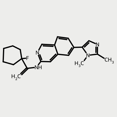 C=C(Nc1cc2cc(-c3cnc(C)n3C)ccc2cn1)C1(F)CCCCC1